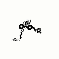 CCCCCCCCCCCCCCOc1cccc(OP(=O)(O)Oc2cccc(CC[n+]3csc(C)c3)c2)c1OC